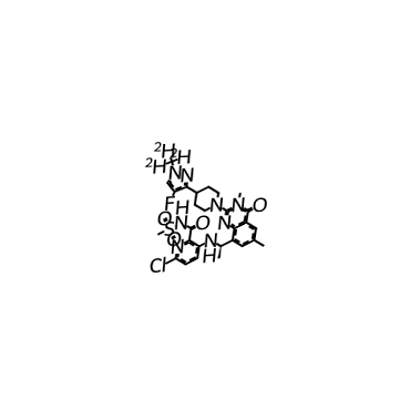 [2H]C([2H])([2H])n1cc(F)c(C2CCN(c3nc4c([C@@H](C)Nc5ccc(Cl)nc5C(=O)NS(C)(=O)=O)cc(C)cc4c(=O)n3C)CC2)n1